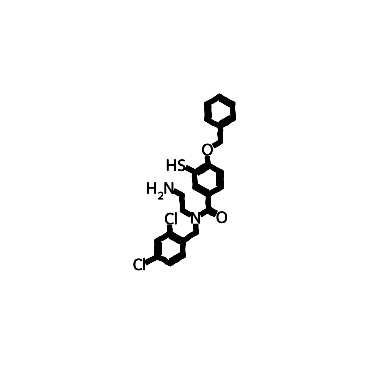 NCCN(Cc1ccc(Cl)cc1Cl)C(=O)c1ccc(OCc2ccccc2)c(S)c1